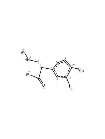 CC(C)NC[C@@H](C(=O)C(C)C)c1ccc(C(F)(F)F)c(F)c1